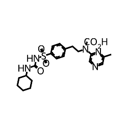 Cc1cncc(N(CCc2ccc(S(=O)(=O)NC(=O)NC3CCCCC3)cc2)C(=O)O)n1